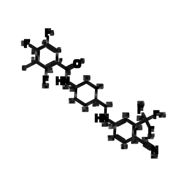 Cc1c(F)c(F)cc(C(=O)NC2CCC(CNc3ccc(C#N)c(C(F)(F)F)c3)CC2)c1F